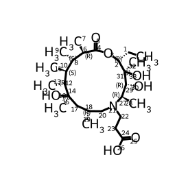 CC[C@H]1OC(=O)[C@H](C)[C@@H](C)[C@H](C)[C@@H](C)[C@](C)(O)C[C@@H](C)CN(CCC(=O)O)[C@H](C)[C@@H](O)[C@]1(C)O